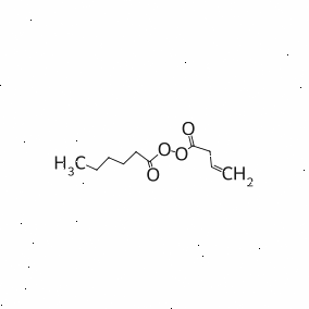 C=CCC(=O)OOC(=O)CCCCC